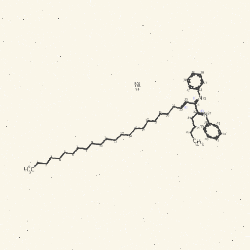 CCCCCCCCCCCCCCCCCCCCCC/C=C/C(=N\c1ccccc1)C(/CCCC)=N/c1ccccc1.[Ni]